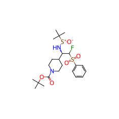 CC(C)(C)OC(=O)N1CCC([C@@H](N[S@@+]([O-])C(C)(C)C)C(F)S(=O)(=O)c2ccccc2)CC1